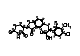 Cc1c(Cl)ccc(N(Cc2ccc3c(c2)C(=O)N(C2CCC(=O)NC2=O)C3)C(=O)O)c1F